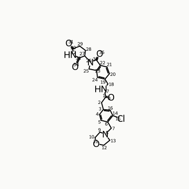 O=C(Cc1ccc(CN2CCOCC2)c(Cl)c1)NCc1ccc2c(c1)CN(C1CCC(=O)NC1=O)C2=O